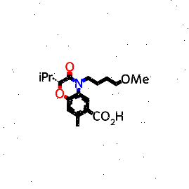 COCCCCN1C(=O)[C@@H](C(C)C)Oc2cc(C)c(C(=O)O)cc21